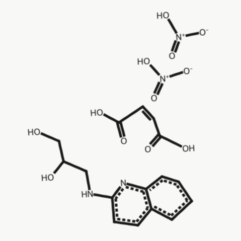 O=C(O)/C=C\C(=O)O.O=[N+]([O-])O.O=[N+]([O-])O.OCC(O)CNc1ccc2ccccc2n1